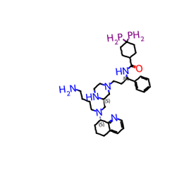 NCCCCN(C[C@@H]1CN(CC[C@@H](NC(=O)C2CCC(P)(P)CC2)c2ccccc2)CCN1)[C@H]1CCCc2cccnc21